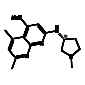 CNc1cc(N[C@@H]2CCN(C)C2)nc2nc(C)cc(C)c12